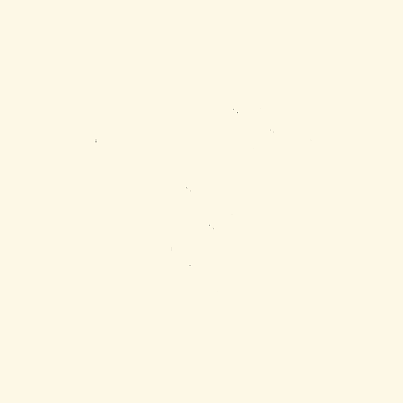 Cn1cnc2c(F)c(Nc3ccc(Br)cc3F)c(C(=O)NOC(C)(C)CO)cc21